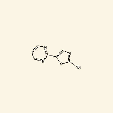 CCC(C)c1ncc(-c2ncccn2)o1